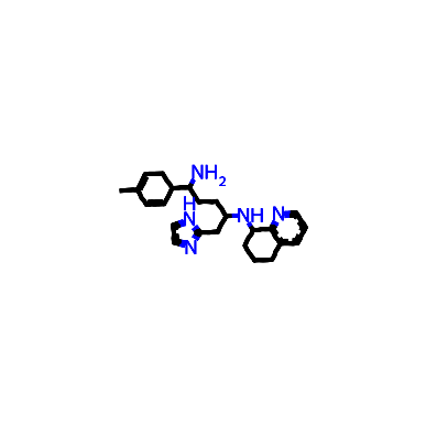 CC1=CCC(C(N)CCC(Cc2ncc[nH]2)NC2CCCc3cccnc32)C=C1